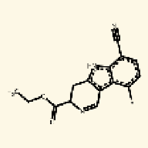 CCOC(=O)C1Cc2[nH]c3c(C#N)ccc(Br)c3c2C=N1